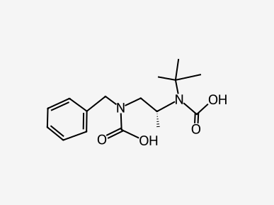 C[C@H](CN(Cc1ccccc1)C(=O)O)N(C(=O)O)C(C)(C)C